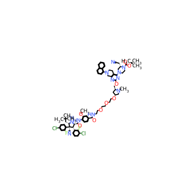 COc1cc(C(=O)NCCOCCOCCO[C@@H]2C[C@@H](COc3nc4c(c(N5CCN(C(=O)OC(C)(C)C)[C@@H](CC#N)C5)n3)CCN(c3cccc5ccccc35)C4)N(C)C2)ccc1NC(=O)[C@@H]1N[C@@H](CC(C)(C)C)[C@](C#N)(c2ccc(Cl)cc2F)[C@H]1c1cccc(Cl)c1F